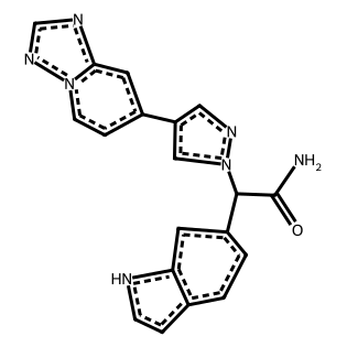 NC(=O)C(c1ccc2cc[nH]c2c1)n1cc(-c2ccn3ncnc3c2)cn1